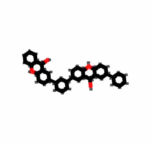 O=c1c2ccccc2oc2ccc(-c3cccc(-c4ccc5oc6ccc(-c7ccccc7)cc6c(=O)c5c4)c3)cc12